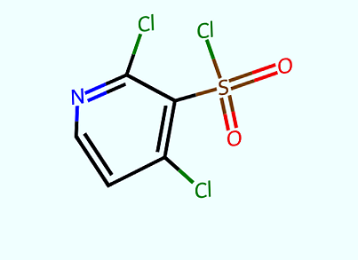 O=S(=O)(Cl)c1c(Cl)ccnc1Cl